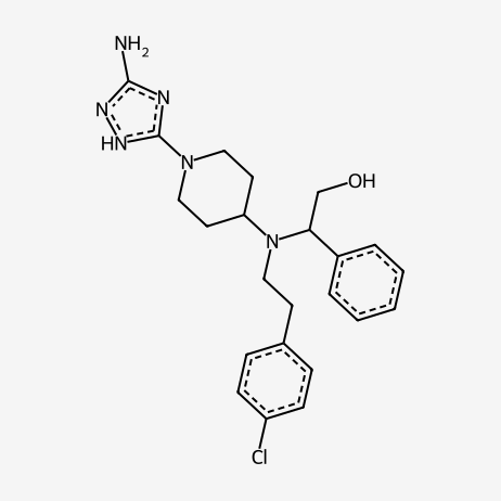 Nc1n[nH]c(N2CCC(N(CCc3ccc(Cl)cc3)C(CO)c3ccccc3)CC2)n1